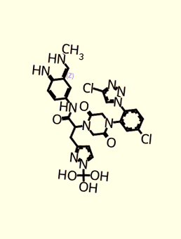 CN/C=C1/C=C(NC(=O)C(Cc2ccn(C(O)(O)O)n2)N2CC(=O)N(c3cc(Cl)ccc3-n3cc(Cl)nn3)CC2=O)C=CC1=N